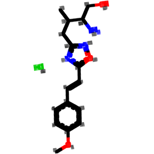 COc1ccc(C=Cc2nc(CC(C)C(N)CO)no2)cc1.Cl